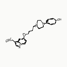 O=Cc1cnn2ccc(OCCCCN3CCN(c4ccc(O)cc4)CC3)cc12